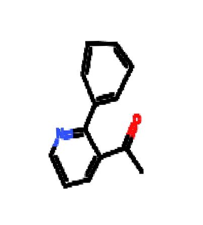 CC(=O)c1cccnc1-c1ccccc1